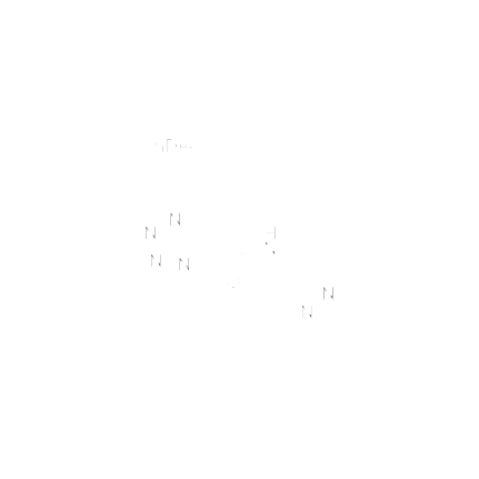 CCCCCCCCCCCCn1nnnc1CC(=O)Nc1c(C)nn(C)c1C